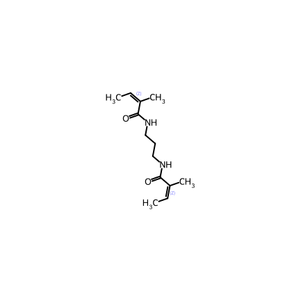 C/C=C(/C)C(=O)NCCCNC(=O)/C(C)=C\C